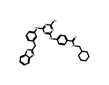 CC(C)c1nc(Nc2ccc(C(=O)NCC3CCCCC3)cc2)nc(Nc2cccc(Cc3nc4ccccc4s3)c2)n1